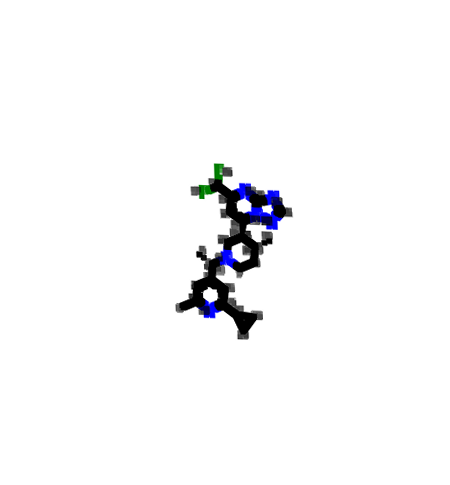 Cc1cc([C@H](C)N2CC[C@@H](C)[C@H](c3cc(C(F)F)nc4ncnn34)C2)cc(C2CC2)n1